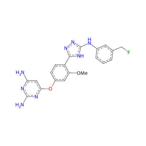 COc1cc(Oc2cc(N)nc(N)n2)ccc1-c1nnc(Nc2cccc(CF)c2)[nH]1